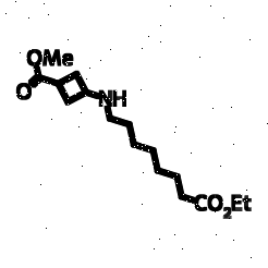 CCOC(=O)CCCCCCCNC1CC(C(=O)OC)C1